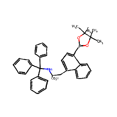 CC1(C)OB(c2ccc(CC(NC(c3ccccc3)(c3ccccc3)c3ccccc3)C(=O)O)c3ccccc23)OC1(C)C